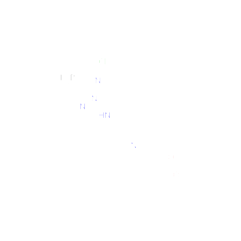 Bc1cnn2c(NCC3CCCN(Cc4cccc5c4OCO5)C3)cc(-c3ccccc3Cl)nc12